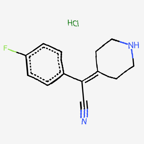 Cl.N#CC(=C1CCNCC1)c1ccc(F)cc1